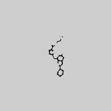 CN(C)CCNC(=O)c1ccc(Cc2cc(Cl)cc3cc(-c4ccccc4)oc23)o1.Cl